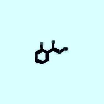 O/N=C(\Cl)c1ccccc1Cl